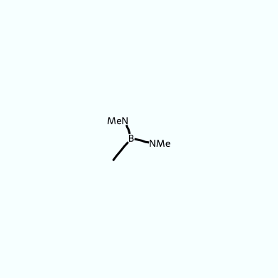 CNB(C)NC